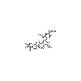 COc1c(-c2ccc3cc(NS(C)(=O)=O)ccc3c2)cc(-c2cnc(OC(C)(C)C)nc2OC(C)(C)C)cc1C(C)(C)C